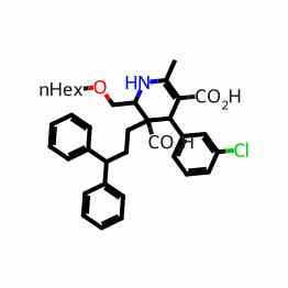 CCCCCCOCC1NC(C)=C(C(=O)O)C(c2cccc(Cl)c2)C1(CCC(c1ccccc1)c1ccccc1)C(=O)O